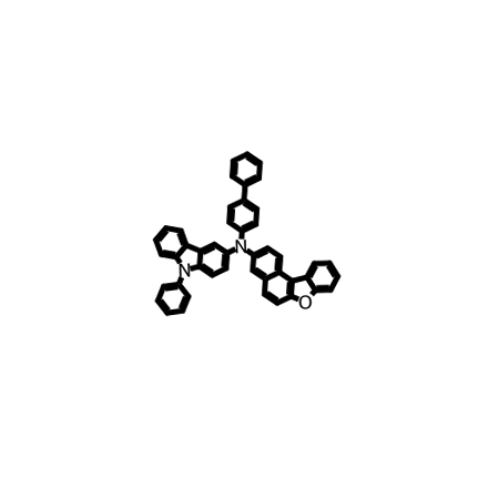 c1ccc(-c2ccc(N(c3ccc4c(ccc5oc6ccccc6c54)c3)c3ccc4c(c3)c3ccccc3n4-c3ccccc3)cc2)cc1